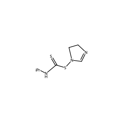 CC(C)NC(=S)SN1C=NCC1